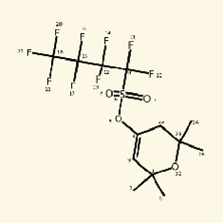 CC1(C)C=C(OS(=O)(=O)C(F)(F)C(F)(F)C(F)(F)C(F)(F)F)CC(C)(C)O1